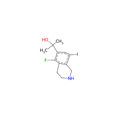 CC(C)(O)c1cc(I)c2c(c1F)CCNC2